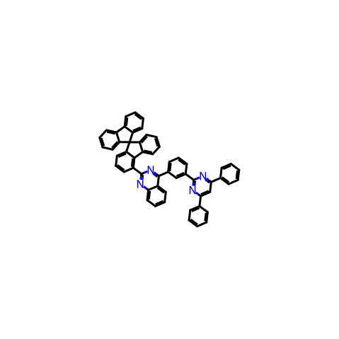 c1ccc(-c2cc(-c3ccccc3)nc(-c3cccc(-c4nc(-c5cccc6c5-c5ccccc5C65c6ccccc6-c6ccccc65)nc5ccccc45)c3)n2)cc1